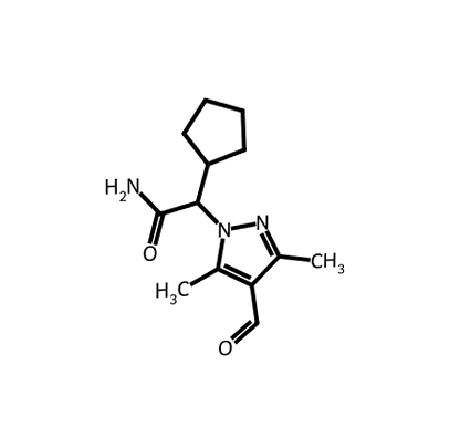 Cc1nn(C(C(N)=O)C2CCCC2)c(C)c1C=O